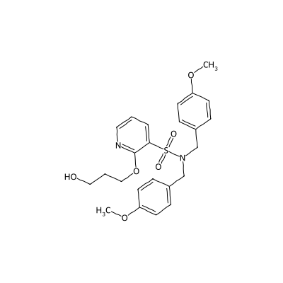 COc1ccc(CN(Cc2ccc(OC)cc2)S(=O)(=O)c2cccnc2OCCCO)cc1